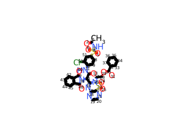 CC(=O)NS(=O)(=O)c1ccc(NC(=O)C(C2=Nc3nccnc3S(=O)(=O)N2CCOC(=O)c2ccccc2)N2C(=O)c3ccccc3C2=O)c(Cl)c1